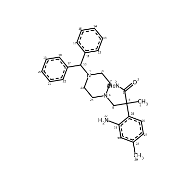 CNC(=O)C(C)(CN1CCN(C(c2ccccc2)c2ccccc2)CC1)c1ccc(C)cc1N